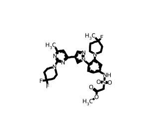 COC(=O)CS(=O)(=O)Nc1ccc(-n2cc(-c3cc(C)nc(N4CCC(F)(F)CC4)n3)cn2)c(N2CCC(C)(F)CC2)c1